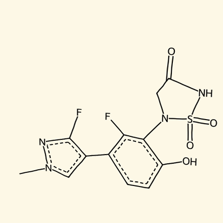 Cn1cc(-c2ccc(O)c(N3CC(=O)NS3(=O)=O)c2F)c(F)n1